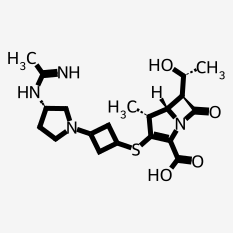 CC(=N)N[C@H]1CCN(C2CC(SC3=C(C(=O)O)N4C(=O)[C@H]([C@@H](C)O)[C@H]4[C@H]3C)C2)C1